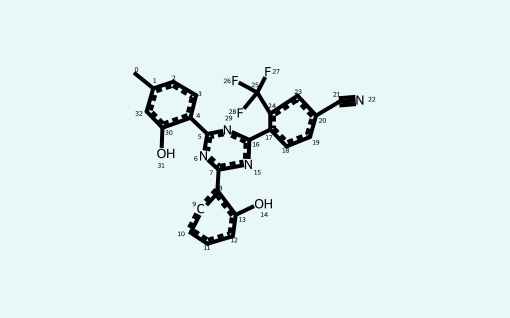 Cc1ccc(-c2nc(-c3ccccc3O)nc(-c3ccc(C#N)cc3C(F)(F)F)n2)c(O)c1